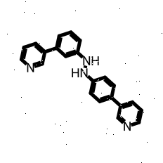 c1cncc(-c2ccc(NNc3cccc(-c4cccnc4)c3)cc2)c1